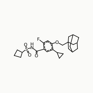 O=C(NS(=O)(=O)C1CCC1)c1cc(C2CC2)c(OCC23CC4CC(CC(C4)C2)C3)cc1F